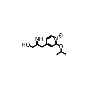 CC(C)Oc1cc(CC(=N)CO)cc[n+]1[O-]